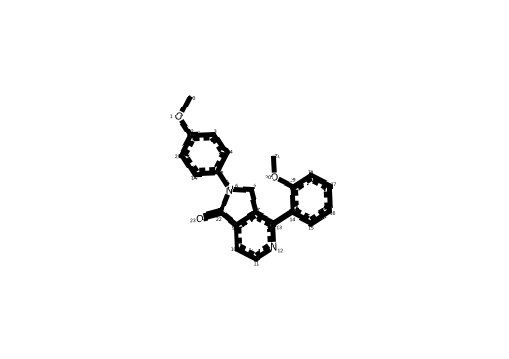 COc1ccc(N2Cc3c(ccnc3-c3ccccc3OC)C2=O)cc1